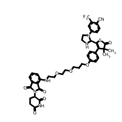 CC1(C)C(=O)SC(C2NCCN2c2ccc(C#N)c(C(F)(F)F)c2)=C1c1ccc(OCCCOCCOCCNc2cccc3c2C(=O)N(C2CCC(=O)NC2=O)C3=O)cc1